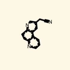 N#CCc1cnc2ccc3ncccc3c2c1